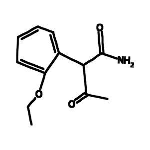 CCOc1ccccc1C(C(C)=O)C(N)=O